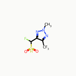 Cn1nc(C(F)[SH](=O)=O)c(C(F)(F)F)n1